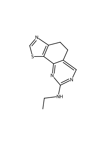 CCNc1ncc2c(n1)-c1scnc1CC2